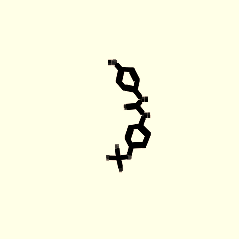 Oc1ccc(NC(=S)Nc2ccc(OC(F)(F)F)cc2)cc1